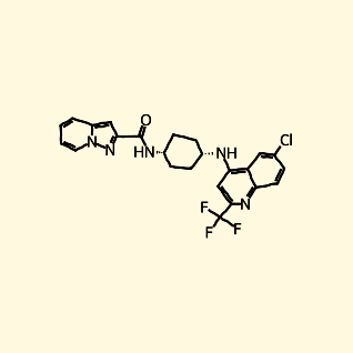 O=C(N[C@H]1CC[C@@H](Nc2cc(C(F)(F)F)nc3ccc(Cl)cc23)CC1)c1cc2ccccn2n1